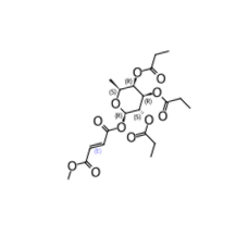 CCC(=O)O[C@H]1[C@H](OC(=O)CC)[C@@H](OC(=O)/C=C/C(=O)OC)O[C@@H](C)[C@H]1OC(=O)CC